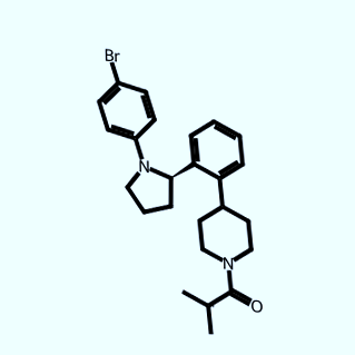 C[C](C)C(=O)N1CCC(c2ccccc2[C@H]2CCCN2c2ccc(Br)cc2)CC1